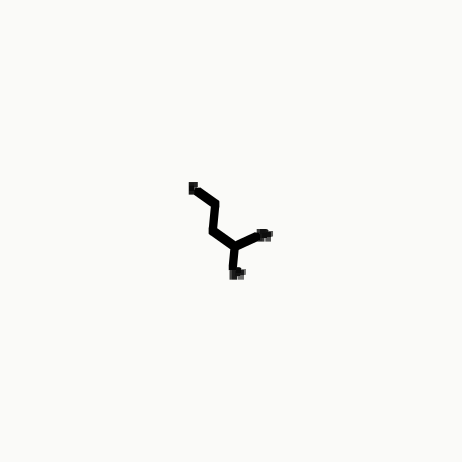 CC(C)C(CCF)C(C)C